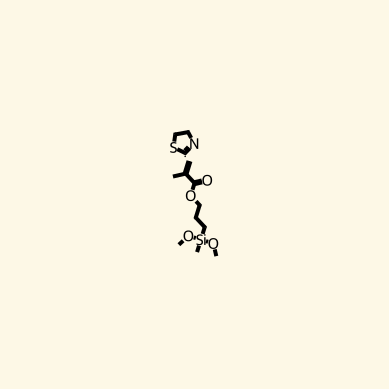 C=C(C)C(=O)OCCC[Si](C)(OC)OC.[C]1=NCCS1